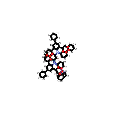 CC(C)(C)c1cc2c3c(c1)N(c1c(-c4ccccc4)cc(-c4ccccc4)cc1-c1ccccc1)c1cc(N4C5CC6CC(C5)CC4C6)ccc1B3c1ccc(-c3ccccc3)cc1N2c1c(-c2ccccc2)cc(-c2ccccc2)cc1-c1ccccc1